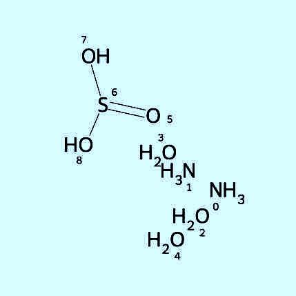 N.N.O.O.O.O=S(O)O